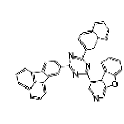 C1=CC2=CC=C(c3nc(-c4ccc5c(c4)-c4cccc6cccc-5c46)nc(-c4cncc5oc6ccccc6c45)n3)CC2C=C1